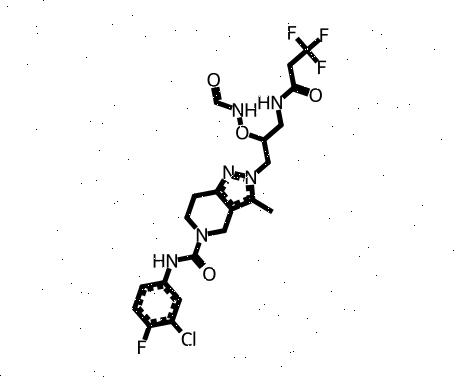 Cc1c2c(nn1CC(CNC(=O)CC(F)(F)F)ONC=O)CCN(C(=O)Nc1ccc(F)c(Cl)c1)C2